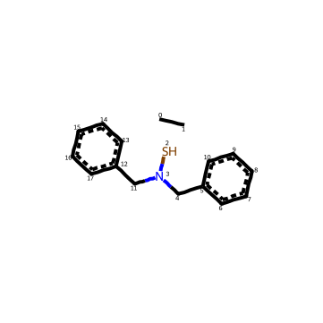 CC.SN(Cc1ccccc1)Cc1ccccc1